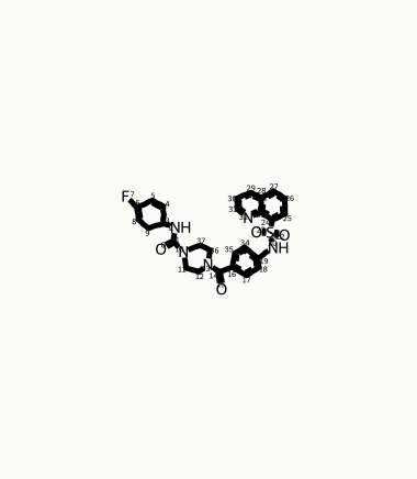 O=C(NC1C=CC(F)=CC1)N1CCN(C(=O)c2ccc(NS(=O)(=O)c3cccc4cccnc34)cc2)CC1